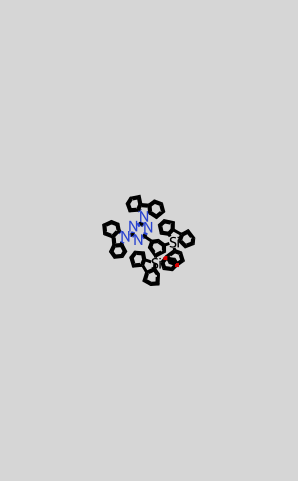 c1ccc([Si]2(c3cc(-c4nc(-n5c6ccccc6c6ccccc65)nc(-n5c6ccccc6c6ccccc65)n4)cc([Si]4(c5ccccc5)c5ccccc5-c5ccccc54)c3)c3ccccc3-c3ccccc32)cc1